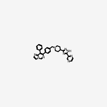 c1ccc(-c2c(-c3ccc(CN4CCC(c5n[nH]c(-c6cnccn6)n5)CC4)cc3)ncn3ccnc23)cc1